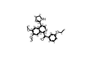 CCOc1cccc(C(=O)c2ncc(C3=NCCN3)c3cc(OC)c(OC)cc23)c1